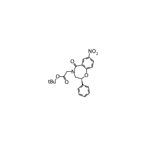 CC(C)(C)OC(=O)CN1C[C@H](c2ccccc2)Oc2ccc([N+](=O)[O-])cc2C1=O